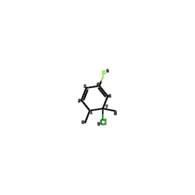 CC1C=CC(F)=CC1(C)Cl